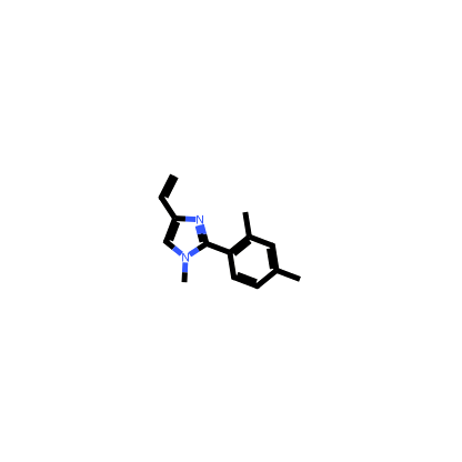 C=Cc1cn(C)c(-c2ccc(C)cc2C)n1